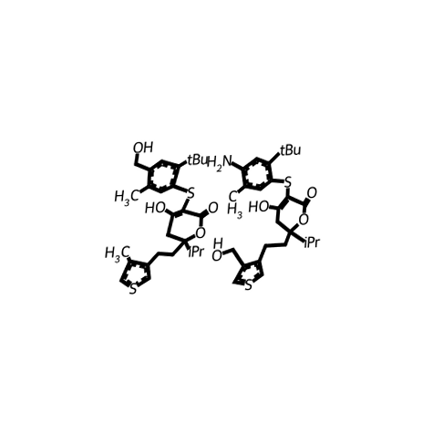 Cc1cc(SC2=C(O)CC(CCc3cscc3C)(C(C)C)OC2=O)c(C(C)(C)C)cc1CO.Cc1cc(SC2=C(O)CC(CCc3cscc3CO)(C(C)C)OC2=O)c(C(C)(C)C)cc1N